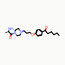 CCCCCC(=O)c1ccc(OCCCN2CCN(C(=O)[C@@H](C)N)CC2)cc1